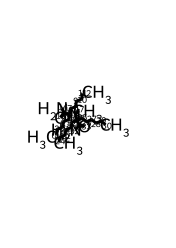 CCCCCCC(CCCCCC)(C(N)=O)N(C)C(CCCCCC)(CCCCCC)C(N)=O